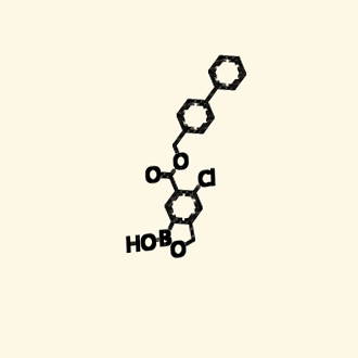 O=C(OCc1ccc(-c2ccccc2)cc1)c1cc2c(cc1Cl)COB2O